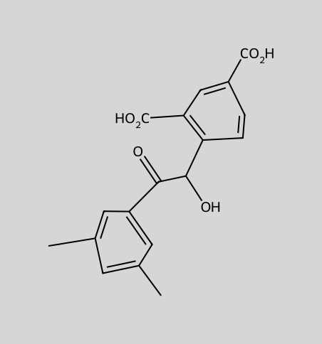 Cc1cc(C)cc(C(=O)C(O)c2ccc(C(=O)O)cc2C(=O)O)c1